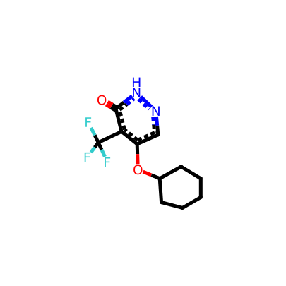 O=c1[nH]ncc(OC2CCCCC2)c1C(F)(F)F